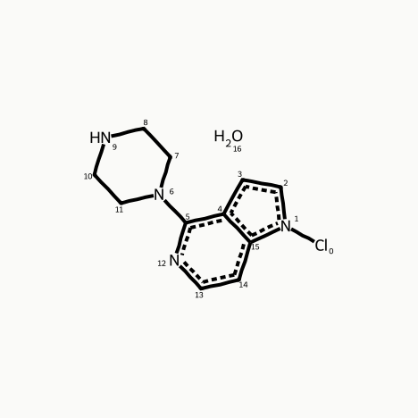 Cln1ccc2c(N3CCNCC3)nccc21.O